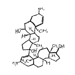 C[C@]12C=CC(N)CC1CC(O)[C@@H]1[C@H]2CC[C@@]2(C)[C@H]1CCC2(O)C1=CC(N)CC2CC[C@@H]3[C@@H](CC[C@]4(C)C(O)CC[C@@H]34)[C@@]12C